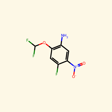 Nc1cc([N+](=O)[O-])c(F)cc1OC(F)F